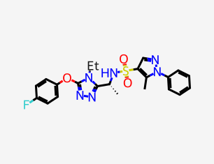 CCn1c(Oc2ccc(F)cc2)nnc1[C@@H](C)NS(=O)(=O)c1cnn(-c2ccccc2)c1C